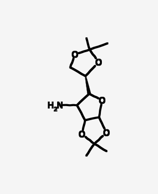 CC1(C)OC2OC([C@H]3COC(C)(C)O3)C(N)C2O1